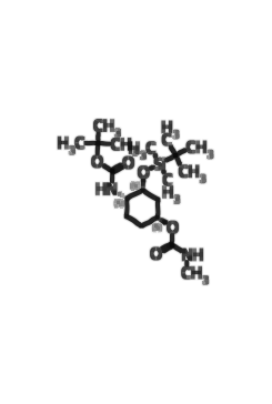 CNC(=O)O[C@H]1CC[C@H](NC(=O)OC(C)(C)C)[C@@H](O[Si](C)(C)C(C)(C)C)C1